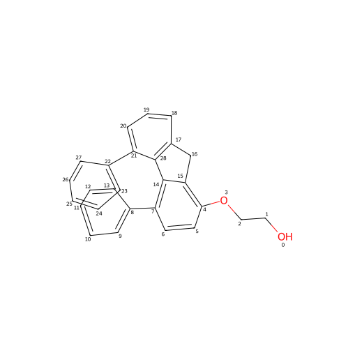 OCCOc1ccc(-c2ccccc2)c2c1Cc1cccc(-c3ccccc3)c1-2